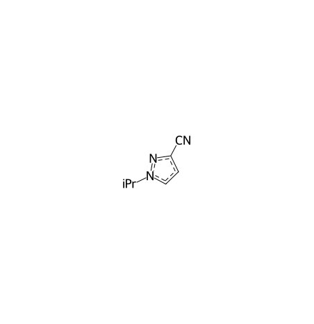 CC(C)n1ccc(C#N)n1